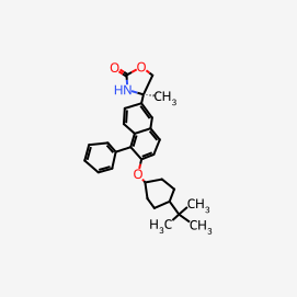 CC(C)(C)C1CCC(Oc2ccc3cc([C@]4(C)COC(=O)N4)ccc3c2-c2ccccc2)CC1